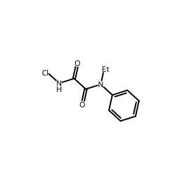 CCN(C(=O)C(=O)NCl)c1ccccc1